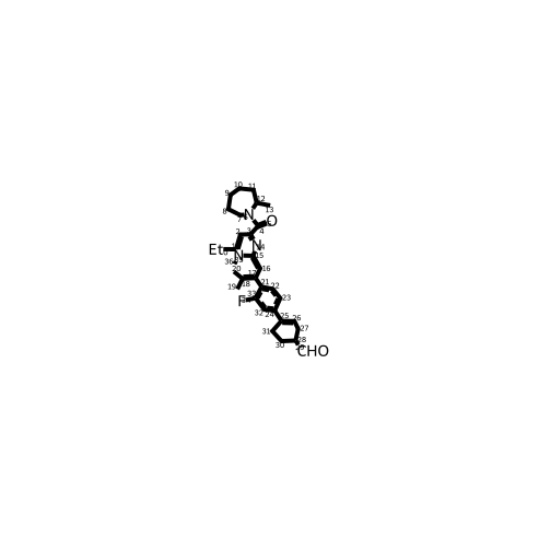 CCC1=CC(C(=O)N2CCCCCC2C)=N/C(=C/C(=C(C)C)c2ccc(C3=CCC(C=O)CC3)cc2F)N1C